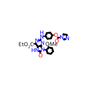 CCOC(=O)c1nc(Nc2ccc(OC(=O)n3ccnc3)cc2)nc2c1[nH]c(=O)n2-c1ccccc1OC